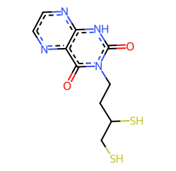 O=c1[nH]c2nccnc2c(=O)n1CCC(S)CS